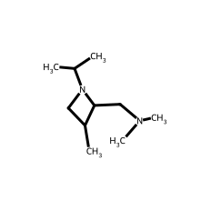 CC1CN(C(C)C)C1CN(C)C